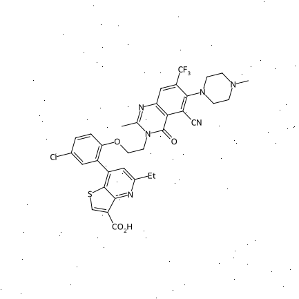 CCc1cc(-c2cc(Cl)ccc2OCCn2c(C)nc3cc(C(F)(F)F)c(N4CCN(C)CC4)c(C#N)c3c2=O)c2scc(C(=O)O)c2n1